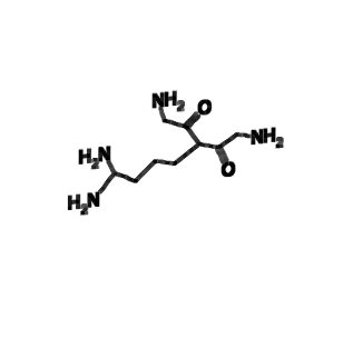 NCC(=O)C(CCCC(N)N)C(=O)CN